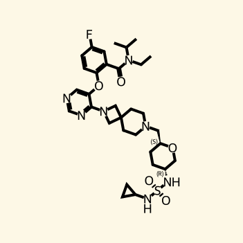 CCN(C(=O)c1cc(F)ccc1Oc1cncnc1N1CC2(CCN(C[C@@H]3CC[C@@H](NS(=O)(=O)NC4CC4)CO3)CC2)C1)C(C)C